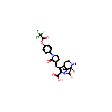 O=C(O)C1=C(/C=C2\CCN(c3ccc(OC(=O)C(F)(F)F)cc3)C2=O)C2CCN[C@@H]3C(=O)N1[C@H]23